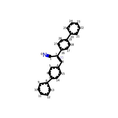 N#C/C(=C\c1ccc(-c2ccccc2)cc1)c1ccc(-c2ccccc2)cc1